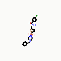 O=C(NCc1ccc(S(=O)(=O)N2CCN(Cc3ccccc3)CC2)s1)c1ccc(Cl)cc1